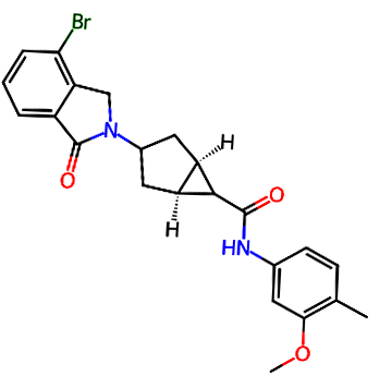 COc1cc(NC(=O)C2[C@H]3CC(N4Cc5c(Br)cccc5C4=O)C[C@@H]23)ccc1C